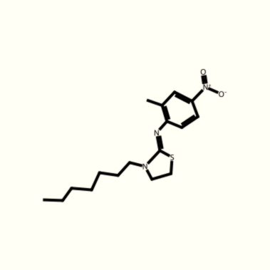 CCCCCCCN1CCSC1=Nc1ccc([N+](=O)[O-])cc1C